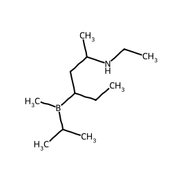 CCNC(C)CC(CC)B(C)C(C)C